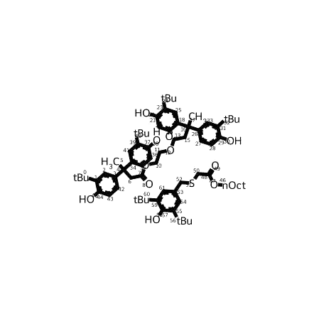 CC(C)(C)c1cc(C(C)(CC(=O)OCCOC(=O)CC(C)(c2ccc(O)c(C(C)(C)C)c2)c2ccc(O)c(C(C)(C)C)c2)c2ccc(O)c(C(C)(C)C)c2)ccc1O.CCCCCCCCOC(=O)CSCc1cc(C(C)(C)C)c(O)c(C(C)(C)C)c1